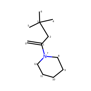 C=C(CC(C)(C)C)N1CCCCC1